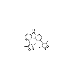 Cc1noc(C)c1-c1ccc2[nH]c3ccnc(-c4c(C)noc4C)c3c2c1